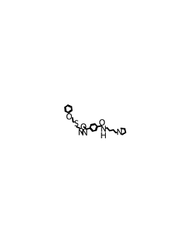 O=C(NCCCCN1CCCC1)c1ccc(-c2nnc(CSCCOc3ccccc3)o2)cc1